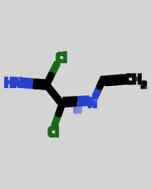 C=C/N=C(/Cl)C(=N)Cl